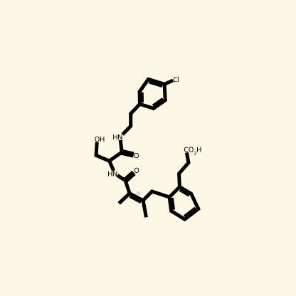 C/C(Cc1ccccc1CCC(=O)O)=C(\C)C(=O)NC(CO)C(=O)NCCc1ccc(Cl)cc1